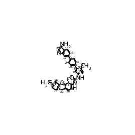 CC1C(NC(=O)Nc2cc(-c3ccc(-c4ccc5c(c4)N=NC5N)cc3)n(C)n2)=CC=C(CN2CCN(C)CC2)C1C(F)(F)F